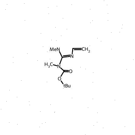 C=C/N=C(\NC)N(C)C(=O)OC(C)(C)C